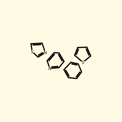 c1ccccc1.c1ccncc1.c1ccsc1.c1cscn1